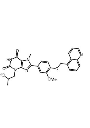 COc1cc(-c2nc3c(c(=O)[nH]c(=O)n3CC(C)O)n2C)ccc1OCc1cccc2ncccc12